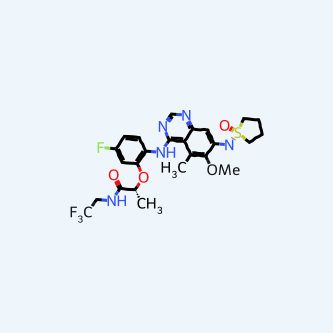 COc1c(N=S2(=O)CCCC2)cc2ncnc(Nc3ccc(F)cc3O[C@H](C)C(=O)NCC(F)(F)F)c2c1C